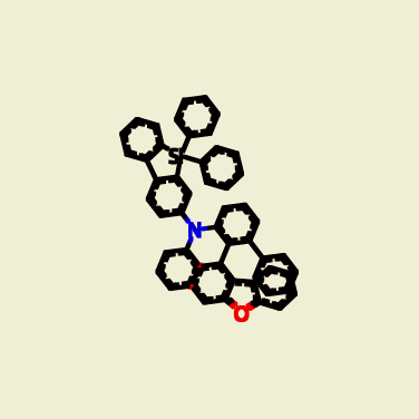 c1ccc(-c2cccc(N(c3ccccc3)c3ccc4c(c3)[Si](c3ccccc3)(c3ccccc3)c3ccccc3-4)c2-c2cccc3oc4ccccc4c23)cc1